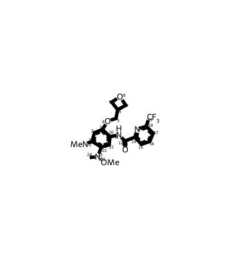 CNc1cc(OCC2COC2)c(NC(=O)c2cccc(C(F)(F)F)n2)cc1N(C)OC